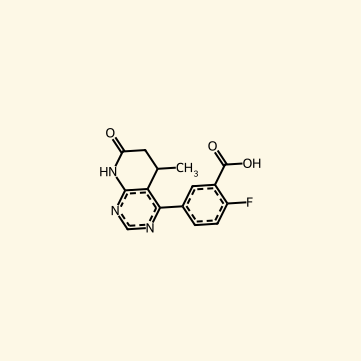 CC1CC(=O)Nc2ncnc(-c3ccc(F)c(C(=O)O)c3)c21